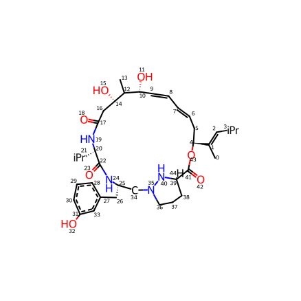 C/C(=C\C(C)C)[C@@H]1C/C=C/C=C/[C@@H](O)C(C)[C@@H](O)CC(=O)N[C@@H](C(C)C)C(=O)N[C@@H](Cc2cccc(O)c2)CN2CCC[C@H](N2)C(=O)O1